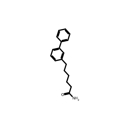 NC(=O)CCCCCc1cccc(-c2ccccc2)c1